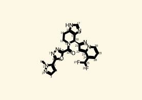 Cn1nccc1-c1nnc(C(=O)N2CCc3[nH]cnc3[C@H]2c2cc3c(C(F)F)cccn3n2)o1